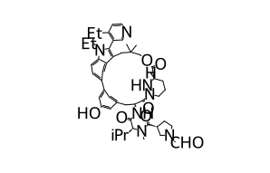 CCc1ccncc1-c1c2c3cc(ccc3n1CC)-c1cc(O)cc(c1)C[C@H](NC(=O)[C@H](C(C)C)N(C)C(=O)[C@H]1CCN(C=O)C1)C(=O)N1CCC[C@H](N1)C(=O)OCC(C)(C)C2